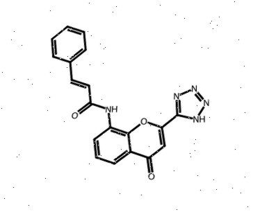 O=C(/C=C/c1ccccc1)Nc1cccc2c(=O)cc(-c3nnn[nH]3)oc12